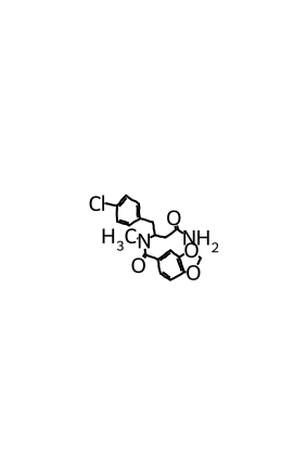 CN(C(=O)c1ccc2c(c1)OCO2)C(CC(N)=O)Cc1ccc(Cl)cc1